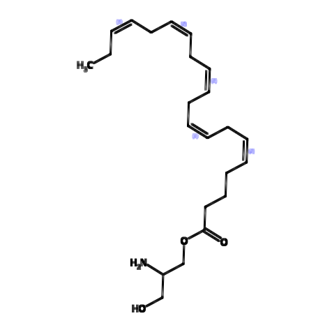 CC/C=C\C/C=C\C/C=C\C/C=C\C/C=C\CCCC(=O)OCC(N)CO